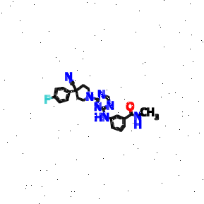 CNC(=O)c1cccc(Nc2ncnc(N3CCC(C#N)(c4ccc(F)cc4)CC3)n2)c1